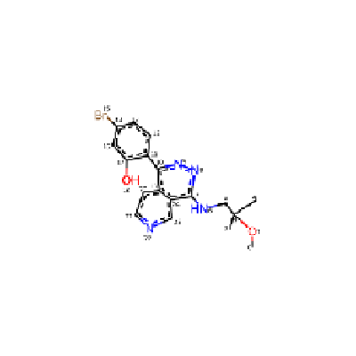 COC(C)(C)CNc1nnc(-c2ccc(Br)cc2O)c2ccncc12